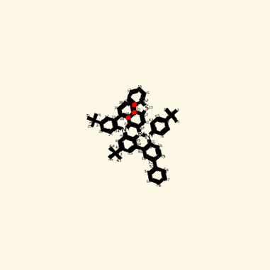 CC(C)(C)c1ccc(N2B3c4cc5sc6ccccc6c5cc4N(c4ccc(C(C)(C)C)cc4-c4ccccc4)c4cc(C(C)(C)C)cc(c43)-c3cc(-c4ccccc4)ccc32)cc1